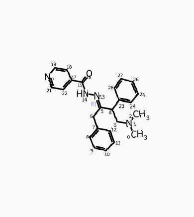 CN(C)CC(/C(Cc1ccccc1)=N/NC(=O)c1ccncc1)c1ccccc1